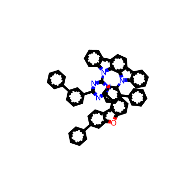 c1ccc(-c2cccc(-c3nc(-c4cccc5oc6cc(-c7ccccc7)ccc6c45)nc(-n4c5ccccc5c5ccc6c7ccccc7n(-c7ccccc7-c7ccccc7)c6c54)n3)c2)cc1